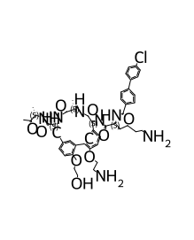 CC(=O)[C@H](C)NC(=O)[C@@H]1Cc2ccc(OCCO)c(c2)-c2cc(ccc2OCCN)[C@H](N(C)C(=O)[C@H](CCCCN)NC(=O)c2ccc(-c3ccc(Cl)cc3)cc2)C(=O)N[C@@H](C)C(=O)N1